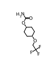 NC(=O)O[C@H]1CC[C@@H](OCC(F)(F)F)CC1